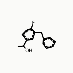 CC(O)c1ccc(F)c(Cc2ccccc2)c1